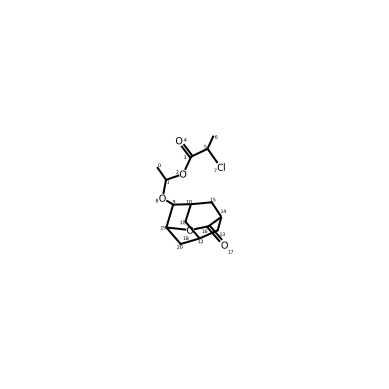 CC(OC(=O)C(C)Cl)OC1C2CC3CC(C2)C(=O)OC1C3